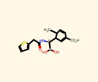 CC1C=CC(C(=O)O)=CC1[C@H](NC(=O)Cc1cccs1)B(O)O